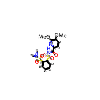 COc1ccc(C(=O)NS(=O)(=O)c2ccccc2S(=O)(=O)N(C)C)nc1OC